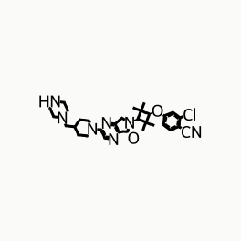 CC1(C)[C@H](Oc2ccc(C#N)c(Cl)c2)C(C)(C)[C@H]1N1Cc2nc(N3CCC(CN4CCNCC4)CC3)cnc2C1=O